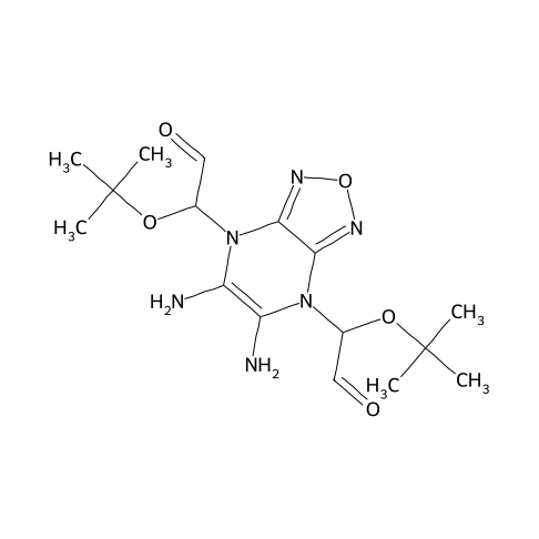 CC(C)(C)OC(C=O)N1C(N)=C(N)N(C(C=O)OC(C)(C)C)c2nonc21